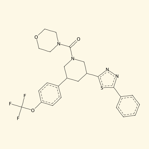 O=C(N1CCOCC1)N1CC(c2ccc(OC(F)(F)F)cc2)CC(c2nnc(-c3ccccc3)s2)C1